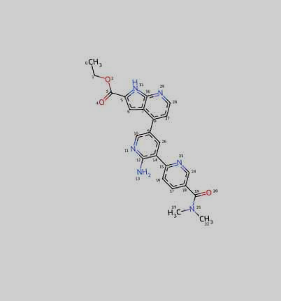 CCOC(=O)c1cc2c(-c3cnc(N)c(-c4ccc(C(=O)N(C)C)cn4)c3)ccnc2[nH]1